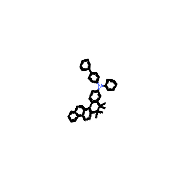 CC1(C)c2cc(N(c3ccccc3)c3ccc(-c4ccccc4)cc3)ccc2-c2c(ccc3c2ccc2ccccc23)C1(C)C